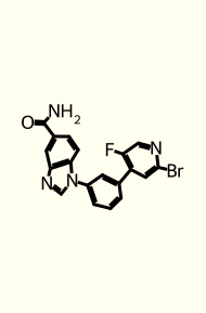 NC(=O)c1ccc2c(c1)ncn2-c1cccc(-c2cc(Br)ncc2F)c1